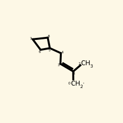 [CH2]C(C)=CCC1CCC1